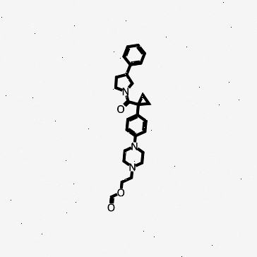 O=COCCN1CCN(c2ccc(C3(C(=O)N4CCC(c5ccccc5)C4)CC3)cc2)CC1